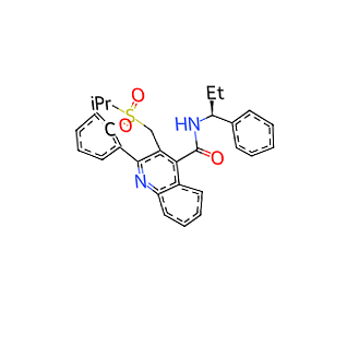 CC[C@H](NC(=O)c1c(CS(=O)(=O)C(C)C)c(-c2ccccc2)nc2ccccc12)c1ccccc1